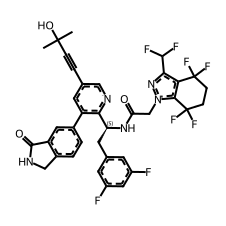 CC(C)(O)C#Cc1cnc([C@H](Cc2cc(F)cc(F)c2)NC(=O)Cn2nc(C(F)F)c3c2C(F)(F)CCC3(F)F)c(-c2ccc3c(c2)C(=O)NC3)c1